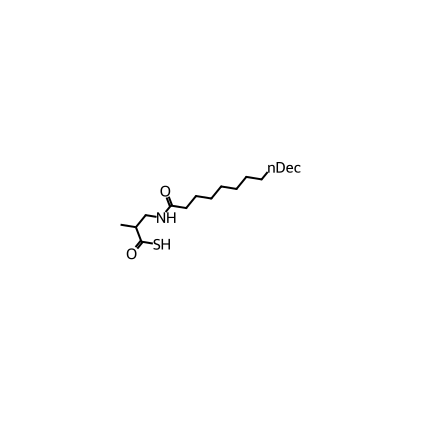 CCCCCCCCCCCCCCCCCC(=O)NCC(C)C(=O)S